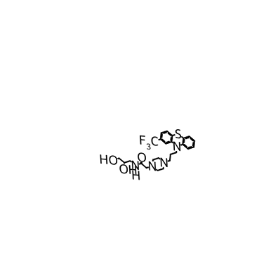 O=C(CN1CCN(CCCN2c3ccccc3Sc3ccc(C(F)(F)F)cc32)CC1)NC[C@H](O)CO